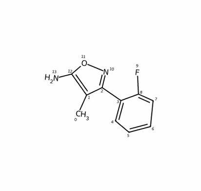 Cc1c(-c2ccccc2F)noc1N